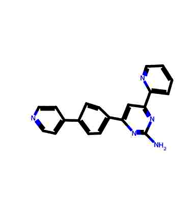 Nc1nc(-c2ccc(-c3ccncc3)cc2)cc(-c2ccccn2)n1